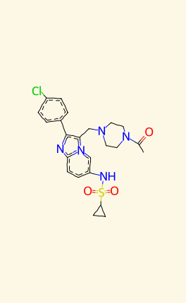 CC(=O)N1CCN(Cc2c(-c3ccc(Cl)cc3)nc3ccc(NS(=O)(=O)C4CC4)cn23)CC1